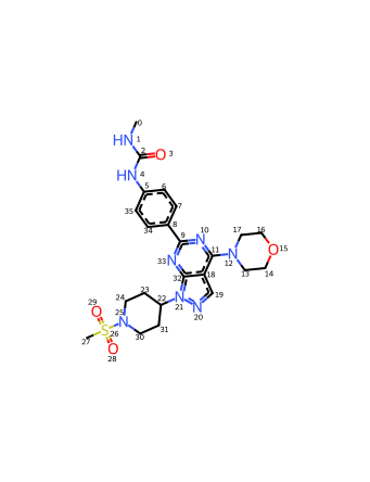 CNC(=O)Nc1ccc(-c2nc(N3CCOCC3)c3cnn(C4CCN(S(C)(=O)=O)CC4)c3n2)cc1